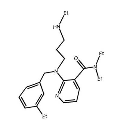 CCNCCCN(Cc1cccc(CC)c1)c1ncccc1C(=O)N(CC)CC